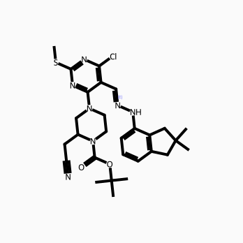 CSc1nc(Cl)c(/C=N/Nc2cccc3c2CC(C)(C)C3)c(N2CCN(C(=O)OC(C)(C)C)C(CC#N)C2)n1